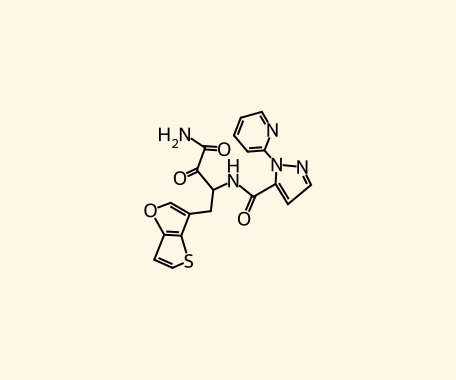 NC(=O)C(=O)C(Cc1coc2ccsc12)NC(=O)c1ccnn1-c1ccccn1